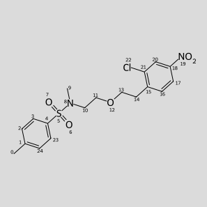 Cc1ccc(S(=O)(=O)N(C)CCOCCc2ccc([N+](=O)[O-])cc2Cl)cc1